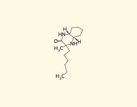 CCCCCCC1(C)N[C@H]2CCCC[C@H]2NC1=O